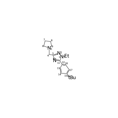 CCn1nc(CN2CCCC2)nc1-c1ccc(C(C)(C)C)cc1